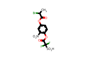 CC(Br)C(=O)Oc1ccc(OC(=O)C(F)(F)S(=O)(=O)O)c([N+](=O)[O-])c1